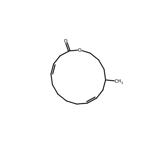 CC1CC=CCCCCC=CCC(=O)OCCC1